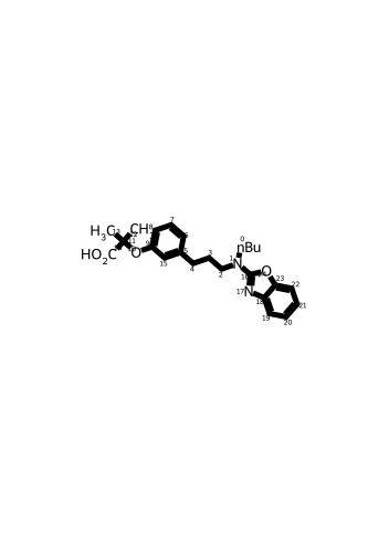 CCCCN(CCCc1cccc(OC(C)(C)C(=O)O)c1)c1nc2ccccc2o1